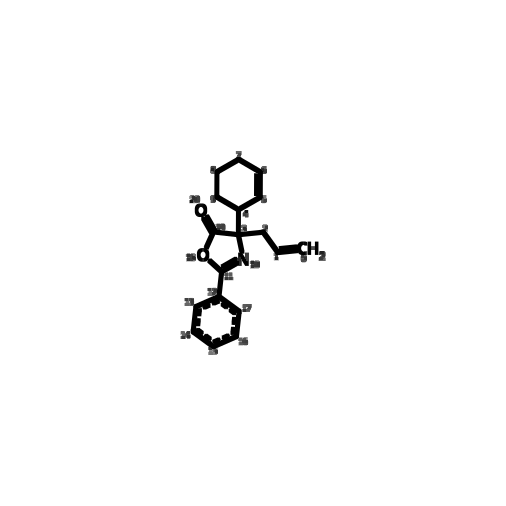 C=CCC1(C2C=CCCC2)N=C(c2ccccc2)OC1=O